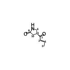 C/C=C/C(=O)[C@@H]1CNC(=O)C1